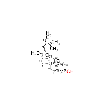 CC[C@H](/C=C/C(C)C1CCC2C3CC=C4CC(O)CCC4(C)C3CCC12C)C(C)C